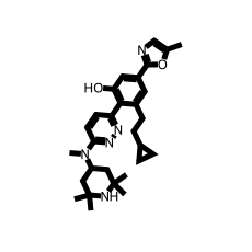 Cc1cnc(-c2cc(O)c(-c3ccc(N(C)C4CC(C)(C)NC(C)(C)C4)nn3)c(CCC3CC3)c2)o1